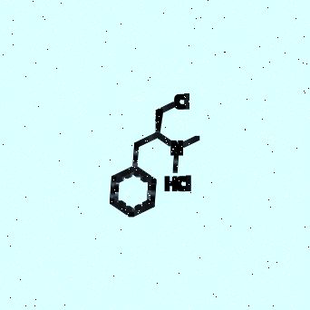 CN(C)[C@H](CCl)Cc1ccccc1.Cl